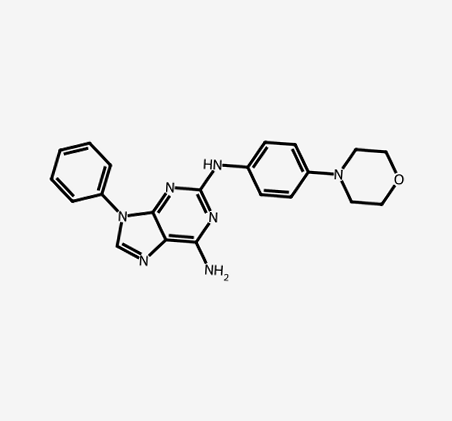 Nc1nc(Nc2ccc(N3CCOCC3)cc2)nc2c1ncn2-c1ccccc1